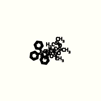 C[Si](C)O[Si](C)(C)O[Si](C)(C)O[Si](C)(C)O[Si](c1ccccc1)(c1ccccc1)c1ccccc1